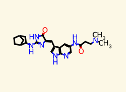 CN(C)CCC(=O)Nc1cnc2[nH]cc(C=C3N=C(NC4CC5CCC4C5)NC3=O)c2c1